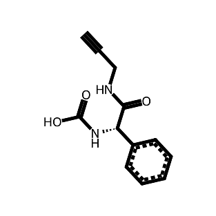 C#CCNC(=O)[C@@H](NC(=O)O)c1ccccc1